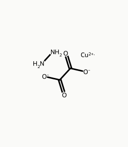 NN.O=C([O-])C(=O)[O-].[Cu+2]